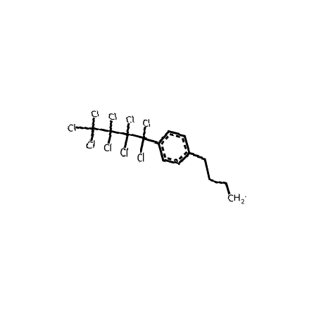 [CH2]CCCc1ccc(C(Cl)(Cl)C(Cl)(Cl)C(Cl)(Cl)C(Cl)(Cl)Cl)cc1